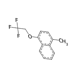 Cc1ccc(OCC(F)(F)F)c2ccccc12